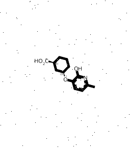 Cc1ccc(O[C@H]2CCC[C@H](C(=O)O)C2)c(O)n1